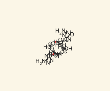 C[C@@H]1OP(=O)(O)O[C@@H]2[C@H](F)[C@@H](COP(=O)(O)O[C@@H]3[C@H](O)[C@@H]1O[C@H]3n1cnc3c(N)ncnc31)O[C@H]2n1cnc2c(=O)[nH]c(N)nc21